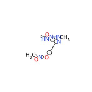 CCC(=O)N1CC(Oc2ccc(C#Cc3cnc(NC)c4cnc(NC(=O)C5CC5)cc34)cc2)C1